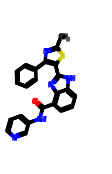 Cc1nc(-c2ccccc2)c(-c2nc3c(C(=O)Nc4cccnc4)cccc3[nH]2)s1